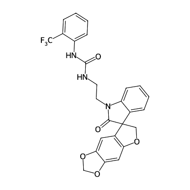 O=C(NCCN1C(=O)C2(COc3cc4c(cc32)OCO4)c2ccccc21)Nc1ccccc1C(F)(F)F